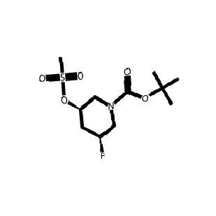 CC(C)(C)OC(=O)N1C[C@@H](F)C[C@@H](OS(C)(=O)=O)C1